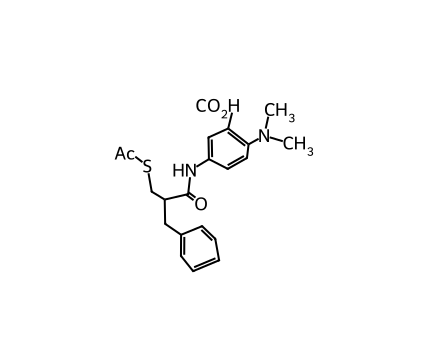 CC(=O)SCC(Cc1ccccc1)C(=O)Nc1ccc(N(C)C)c(C(=O)O)c1